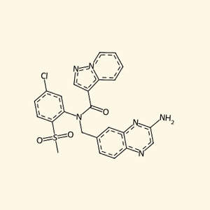 CS(=O)(=O)c1ccc(Cl)cc1N(Cc1ccc2ncc(N)nc2c1)C(=O)c1cnn2ccccc12